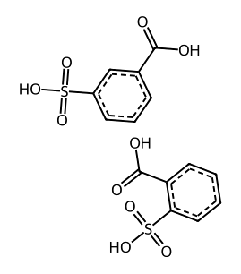 O=C(O)c1cccc(S(=O)(=O)O)c1.O=C(O)c1ccccc1S(=O)(=O)O